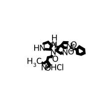 Cc1nocc1CC(=O)Nc1cnc2c(ccn2S(=O)(=O)c2ccccc2)c1NC1CCNCC1.Cl